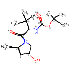 C[C@@H]1C[C@@H](O)CN1C(=O)[C@@H](NC(=O)OC(C)(C)C)C(C)(C)C